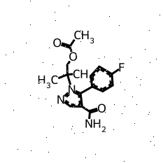 CC(=O)OCC(C)(C)n1ncc(C(N)=O)c1-c1ccc(F)cc1